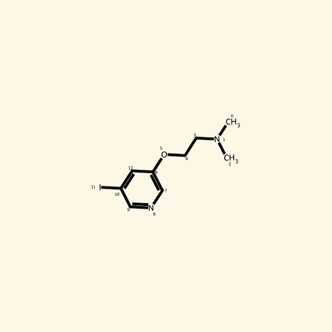 CN(C)CCOc1cncc(I)c1